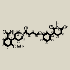 COc1cccc(C(N)=O)c1C1CCN(C(=O)CCCOc2cccc(C3CCC(=O)NC3=O)c2)CC1